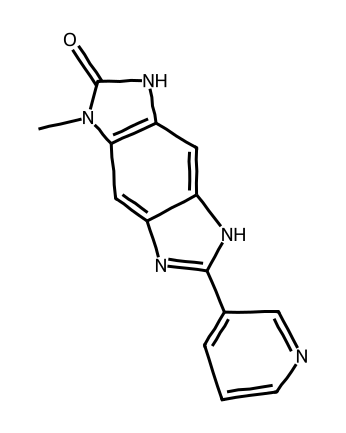 Cn1c(=O)[nH]c2cc3[nH]c(-c4cccnc4)nc3cc21